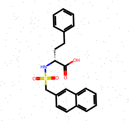 O=C(O)[C@@H](CCc1ccccc1)NS(=O)(=O)Cc1ccc2ccccc2c1